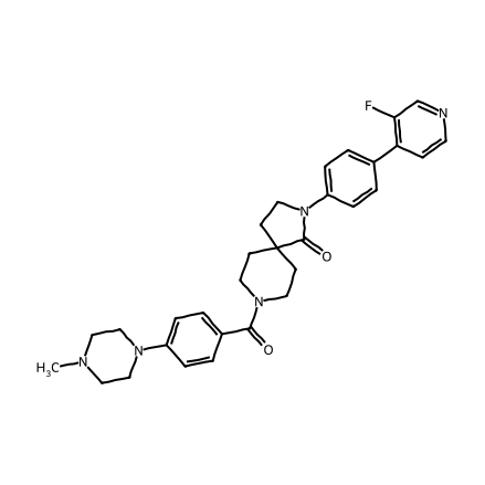 CN1CCN(c2ccc(C(=O)N3CCC4(CC3)CCN(c3ccc(-c5ccncc5F)cc3)C4=O)cc2)CC1